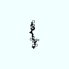 CC(C)(C)OC(=O)c1c[nH]c(C(=O)OCCC2CC2c2ccc3nc(CCl)cn3c2)n1